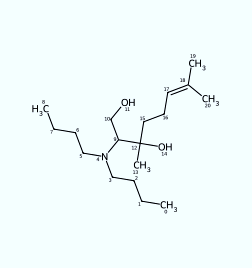 CCCCN(CCCC)C(CO)C(C)(O)CCC=C(C)C